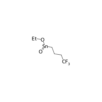 CC[O][Sn](=[O])[CH2]CCC(F)(F)F